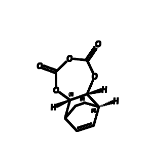 O=C1OC(=O)O[C@H]2C3C=C[C@@H](CC3)[C@H]2O1